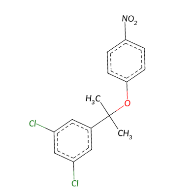 CC(C)(Oc1ccc([N+](=O)[O-])cc1)c1cc(Cl)cc(Cl)c1